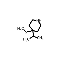 CSC1(C(C)C)CCNCC1